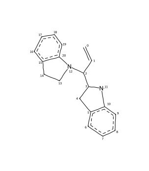 C=CC(C1Cc2ccccc2[N]1)N1CCc2ccccc21